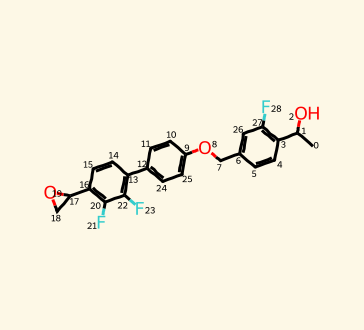 CC(O)c1ccc(COc2ccc(-c3ccc(C4CO4)c(F)c3F)cc2)cc1F